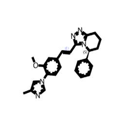 COc1cc(/C=C/c2nnc3n2[C@H](c2ccccc2)CCC3)ccc1-n1cnc(C)c1